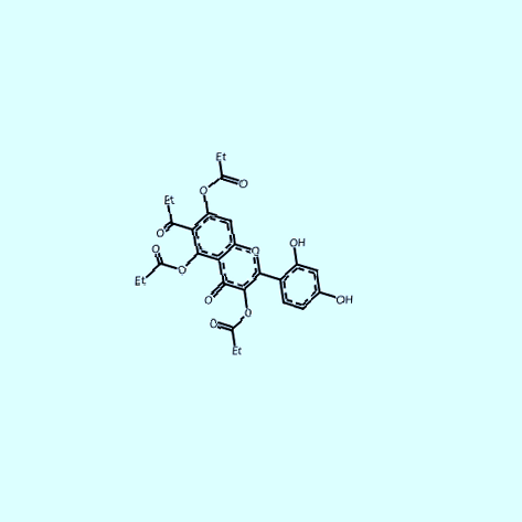 CCC(=O)Oc1cc2oc(-c3ccc(O)cc3O)c(OC(=O)CC)c(=O)c2c(OC(=O)CC)c1C(=O)CC